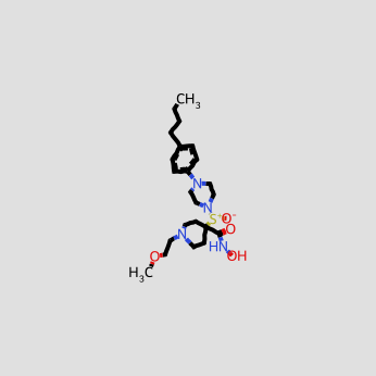 CCCCc1ccc(N2CCN([S+]([O-])C3(C(=O)NO)CCN(CCOC)CC3)CC2)cc1